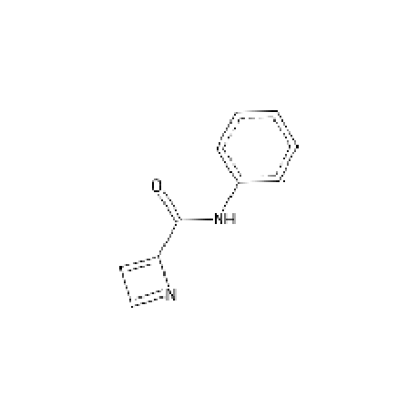 O=C(Nc1[c]cccc1)C1=CC=N1